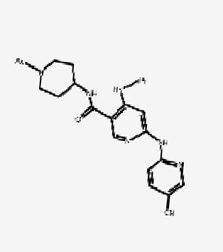 CC(=O)N1CCC(NC(=O)c2cnc(Nc3ccc(C#N)cn3)cc2NC(C)C)CC1